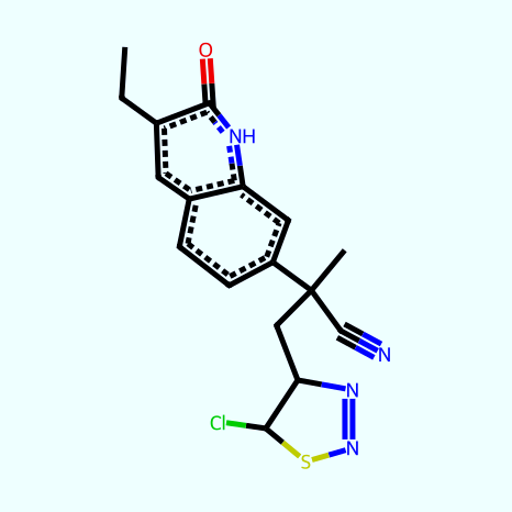 CCc1cc2ccc(C(C)(C#N)CC3N=NSC3Cl)cc2[nH]c1=O